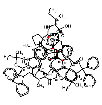 CC[C@H](C)[C@H](NC(=O)[C@@H]1CCCN1C(=O)[C@@H]1CCCN1C(=O)[C@@H](NC(=O)[C@H](COC(C)(C)C)NC(=O)[C@H](C)NC(=O)[C@@H](NC(=O)[C@H](C)NC(=O)[C@@H](NC(=O)[C@@H]1C[C@@H](OC(c2ccccc2)(c2ccccc2)c2ccccc2)CN1C(=O)[C@H](CSC(c1ccccc1)(c1ccccc1)c1ccccc1)NC(=O)OCC1c2ccccc2-c2ccccc21)[C@@H](C)CC)[C@@H](C)OC(C)(C)C)[C@@H](C)CC)C(=O)O